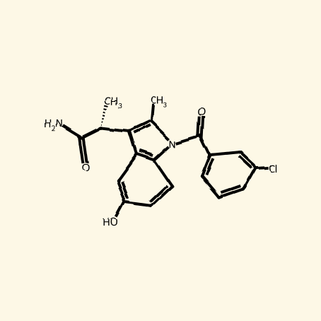 Cc1c([C@@H](C)C(N)=O)c2cc(O)ccc2n1C(=O)c1cccc(Cl)c1